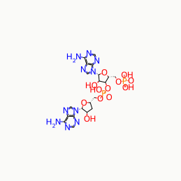 Nc1ncnc2c1ncn2[C@@H]1O[C@H](COP(=O)(O)O)[C@@H](OP(=O)(O)OC[C@@H]2C[C@@H](O)[C@H](n3cnc4c(N)ncnc43)O2)[C@H]1O